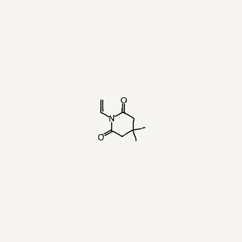 C=CN1C(=O)CC(C)(C)CC1=O